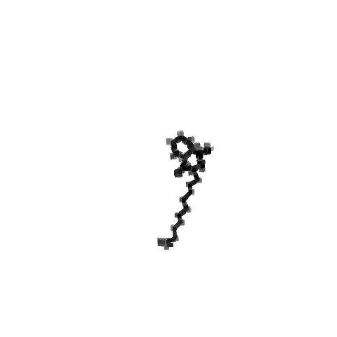 CCCCCCCCCCc1n[n+]([O-])c2ccccc2[n+]1[O-]